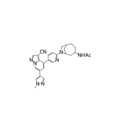 CC(=O)NC1CCC2CC(C1)N(c1ccc(-c3cc(-c4cnn(C)c4)cn4ncc(C#N)c34)cn1)C2